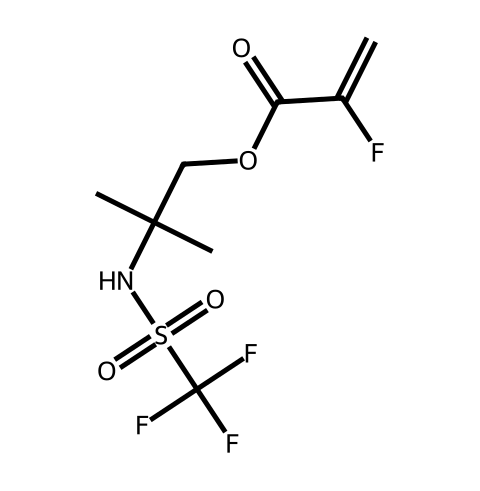 C=C(F)C(=O)OCC(C)(C)NS(=O)(=O)C(F)(F)F